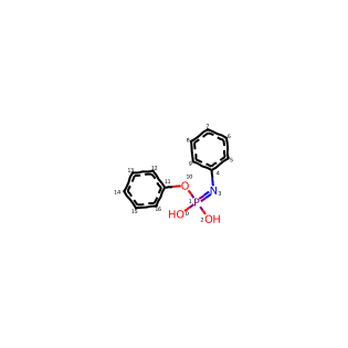 OP(O)(=Nc1ccccc1)Oc1ccccc1